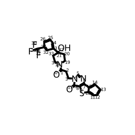 O=C(CCn1cnc2c(sc3ccccc32)c1=O)N1CCC(O)(c2cccc(C(F)(F)F)c2)CC1